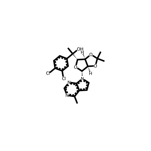 Cc1ncnc2c1ccn2[C@@H]1O[C@H](C(C)(O)c2ccc(Cl)c(Cl)c2)[C@H]2OC(C)(C)O[C@H]21